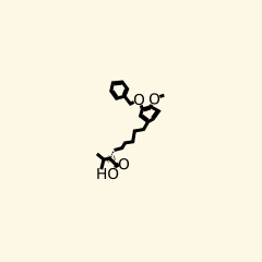 COc1ccc(CCCCCC[C@H](C(=O)O)C(C)C)cc1OCc1ccccc1